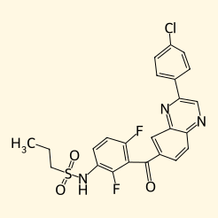 CCCS(=O)(=O)Nc1ccc(F)c(C(=O)c2ccc3ncc(-c4ccc(Cl)cc4)nc3c2)c1F